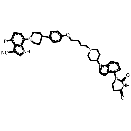 N#Cc1c[nH]c2c(N3CCC(c4ccc(OCCCCN5CCC(n6ccc7c(N8CCC(=O)NC8=O)cccc76)CC5)cc4)CC3)ccc(F)c12